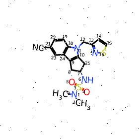 CN(C)S(=O)(=O)N[C@@H]1Cc2c(n(Cc3ccsn3)c3ccc(C#N)cc23)C1